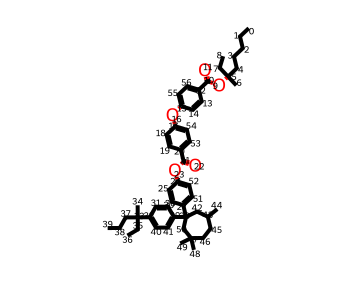 CCCCCC(C)(CC)OC(=O)c1ccc(Oc2ccc(C(=O)Oc3ccc(C4(c5ccc(C(C)(CC)CCC)cc5)CC(C)CCC(C)(C)C4)cc3)cc2)cc1